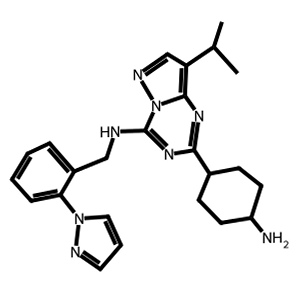 CC(C)c1cnn2c(NCc3ccccc3-n3cccn3)nc(C3CCC(N)CC3)nc12